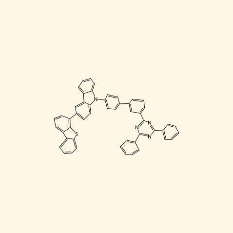 c1ccc(-c2nc(-c3ccccc3)nc(-c3cccc(-c4ccc(-n5c6ccccc6c6cc(-c7cccc8c7sc7ccccc78)ccc65)cc4)c3)n2)cc1